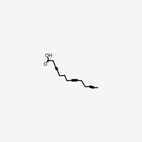 CC#CCCC#CCCCC#CCC(=O)O